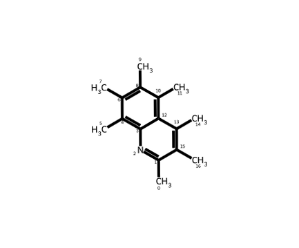 Cc1nc2c(C)c(C)c(C)c(C)c2c(C)c1C